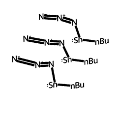 CCC[CH2][Sn][N]=[N+]=[N-].CCC[CH2][Sn][N]=[N+]=[N-].CCC[CH2][Sn][N]=[N+]=[N-]